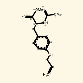 C=CCOc1ccc(C[C@H](NC(=O)OC)C(=O)OC)cc1